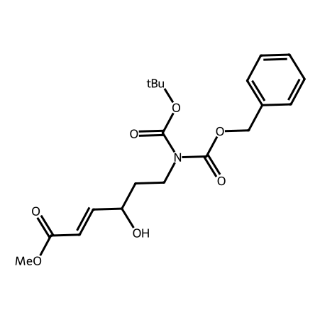 COC(=O)C=CC(O)CCN(C(=O)OCc1ccccc1)C(=O)OC(C)(C)C